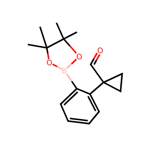 CC1(C)OB(c2ccccc2C2(C=O)CC2)OC1(C)C